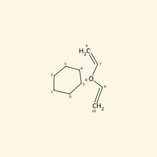 C1CCCCC1.C=COC=C